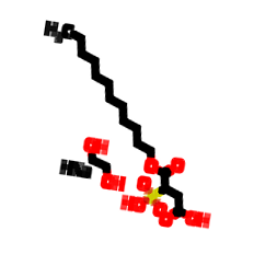 CCCCCCCCCCCCOC(=O)C(CC(=O)O)S(=O)(=O)O.OCCO.[NaH]